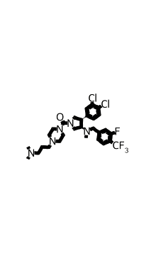 CN(C)CCCN1CCN(C(=O)N2C[C@H](c3ccc(Cl)c(Cl)c3)[C@@H](N(C)Cc3ccc(C(F)(F)F)c(F)c3)C2)CC1